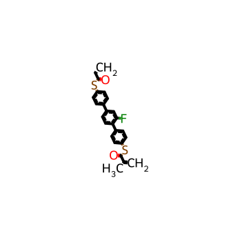 C=CC(=O)Sc1ccc(-c2ccc(-c3ccc(SC(=O)C(=C)C)cc3)c(F)c2)cc1